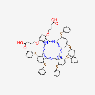 O=C(O)CCCOc1ccc(OCCCC(=O)O)c2c3nc4nc(nc5[nH]c(nc6nc(nc([nH]3)c12)C/C(Sc1ccccc1)=C\C=C(\Sc1ccccc1)C6)c1c(Sc2ccccc2)ccc(Sc2ccccc2)c51)-c1c(Sc2ccccc2)ccc(Sc2ccccc2)c1-4